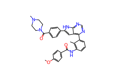 COc1ccc(C(=O)Nc2cccc(-c3ncnc4[nH]c(-c5ccc(C(=O)N6CCN(C)CC6)cc5)cc34)c2C)cc1